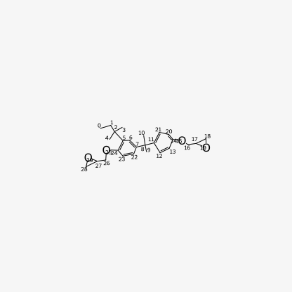 CCC(C)(C)c1cc(C(C)(C)c2ccc(OCC3CO3)cc2)ccc1OCC1CO1